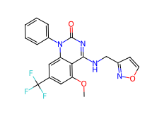 COc1cc(C(F)(F)F)cc2c1c(NCc1ccon1)nc(=O)n2-c1ccccc1